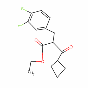 CCOC(=O)C(Cc1ccc(F)c(F)c1)C(=O)C1CCC1